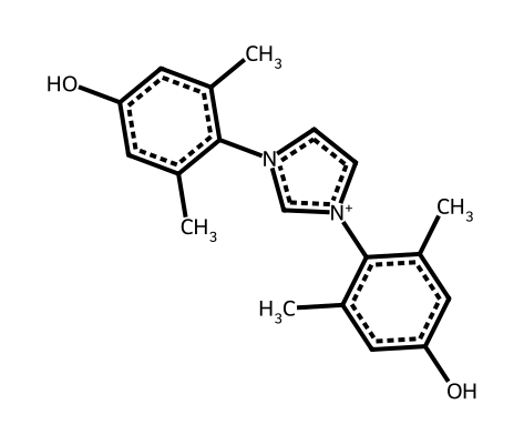 Cc1cc(O)cc(C)c1-n1cc[n+](-c2c(C)cc(O)cc2C)c1